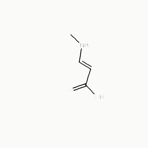 CNC=CC(=O)O